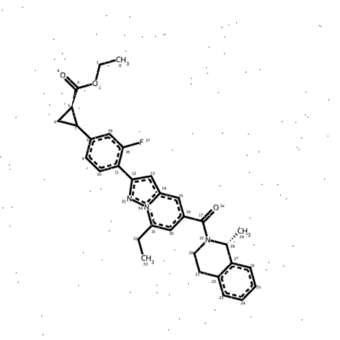 CCOC(=O)[C@@H]1CC1c1ccc(-c2cc3cc(C(=O)N4CCc5ccccc5[C@H]4C)cc(CC)n3n2)c(F)c1